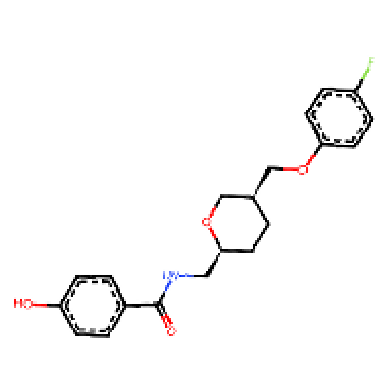 O=C(NC[C@@H]1CC[C@H](COc2ccc(F)cc2)CO1)c1ccc(O)cc1